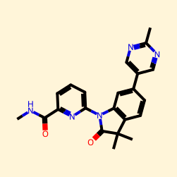 CNC(=O)c1cccc(N2C(=O)C(C)(C)c3ccc(-c4cnc(C)nc4)cc32)n1